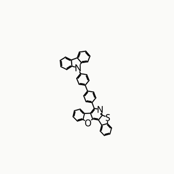 c1ccc2c(c1)oc1c2c(-c2ccc(-c3ccc(-n4c5ccccc5c5ccccc54)cc3)cc2)nc2sc3ccccc3c21